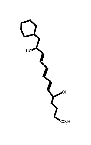 O=C(O)CCCC(O)C=CC=CC=CC(O)CC1CCCCC1